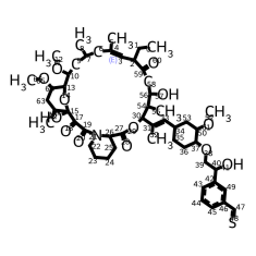 CCC1/C=C(\C)CC(C)CC(OC)C2OC(O)(C(=O)C(=O)N3CCCCC3C(=O)OC(C(C)=CC3CCC(OCC(O)c4cccc(C=S)c4)C(OC)C3)C(C)C(O)CC1=O)C(C)CC2OC